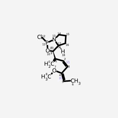 C=C(/C=C\C(=C/C)OC)[C@H]1OP(Cl)N2CCC[C@@H]12